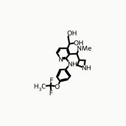 CNC(c1c(C(O)CO)ccnc1Nc1ccc(OC(C)(F)F)cc1)C1CNC1